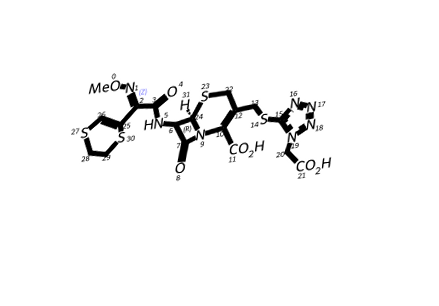 CO/N=C(/C(=O)NC1C(=O)N2C(C(=O)O)=C(CSc3nnnn3CC(=O)O)CS[C@H]12)C1=CSCCS1